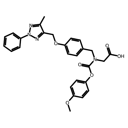 COc1ccc(OC(=O)N(CC(=O)O)Cc2ccc(OCc3nn(-c4ccccc4)nc3C)cc2)cc1